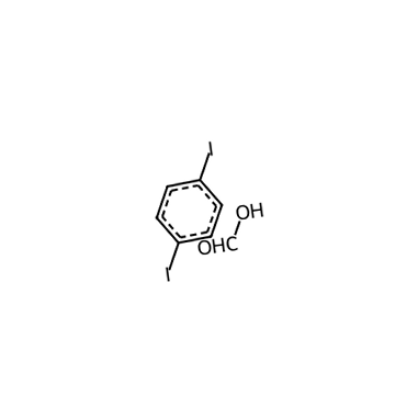 Ic1ccc(I)cc1.O=CO